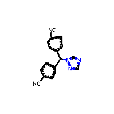 [C-]#[N+]c1ccc(C(c2ccc(C#N)cc2)n2cncn2)cc1